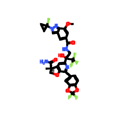 COc1cc(C(=O)NCC(O)(c2cc3c(c(-c4ccc5c(c4)OC(F)(F)O5)n2)OC[C@]3(C)C(N)=O)C(F)(F)F)cc2cn(C3(F)CC3)nc12